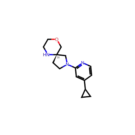 c1cc(C2CC2)cc(N2CC[C@@]3(COCCN3)C2)n1